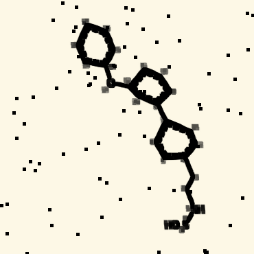 O=S(=O)(O)NCCc1ccc(-c2cccc(Oc3ccccc3)c2)cc1